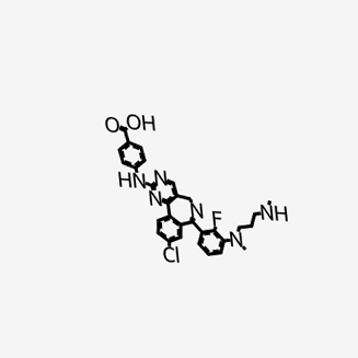 CNCCCN(C)c1cccc(C2=NCc3cnc(Nc4ccc(C(=O)O)cc4)nc3-c3ccc(Cl)cc32)c1F